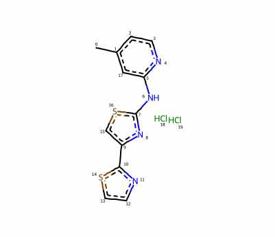 Cc1ccnc(Nc2nc(-c3nccs3)cs2)c1.Cl.Cl